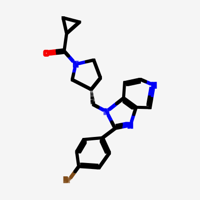 O=C(C1CC1)N1CC[C@H](Cn2c(-c3ccc(Br)cc3)nc3cnccc32)C1